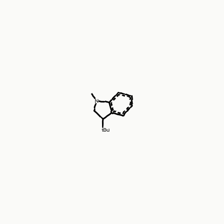 CN1CC(C(C)(C)C)c2ccccc21